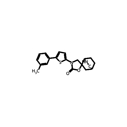 Cc1cccc(-c2ccc(N3CC4(CC5CCC4NC5)OC3=O)s2)c1